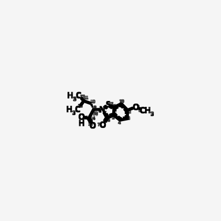 COc1ccc2c(=O)n([C@@H](CC(C)C)C(=O)O)sc2c1